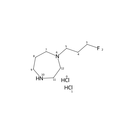 Cl.Cl.FCCCN1CCCNCC1